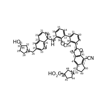 N#Cc1c2c(cc3nc(-c4cccc(-c5cccc(Nc6nccc7cc(CN8CC[C@@H](O)C8)cnc67)c5Cl)c4Cl)oc13)[C@@H](N1CC[C@@H](C(=O)O)C1)CC2